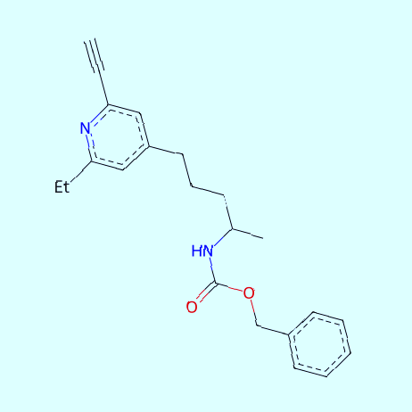 C#Cc1cc(CCCC(C)NC(=O)OCc2ccccc2)cc(CC)n1